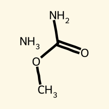 COC(N)=O.N